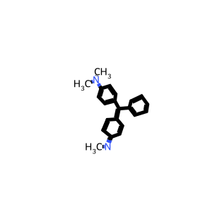 CN=C1C=CC(=C(c2ccccc2)c2ccc(N(C)C)cc2)C=C1